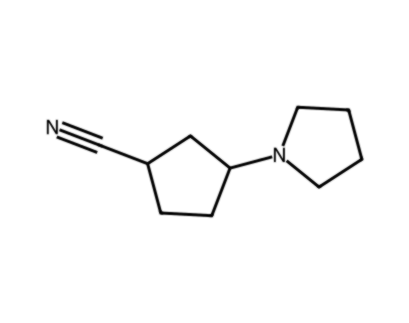 N#CC1CCC(N2CCCC2)C1